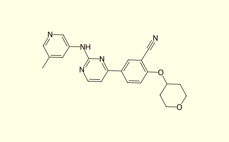 Cc1cncc(Nc2nccc(-c3ccc(OC4CCOCC4)c(C#N)c3)n2)c1